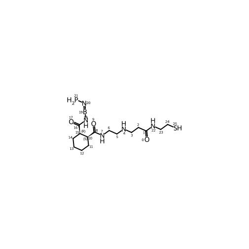 O=C(CCNCCNC(=O)[C@H]1CCCC[C@H]1C(=O)NB=NP)NCCS